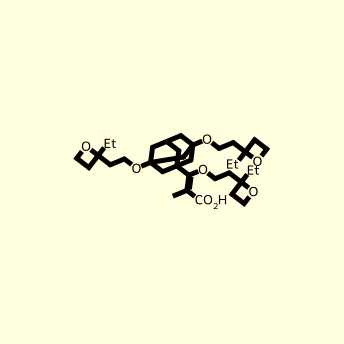 CCC1(CCOC(=C(C)C(=O)O)C23CC4CC(OCCC5(CC)CCO5)(CC(OCCC5(CC)CCO5)(C4)C2)C3)CCO1